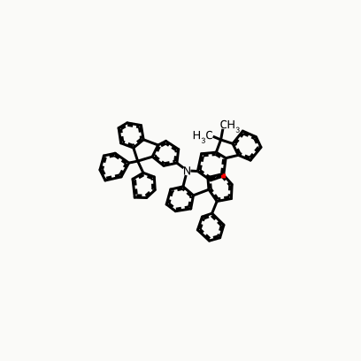 CC1(C)c2ccccc2-c2ccc(N(c3ccc4c(c3)C(c3ccccc3)(c3ccccc3)c3ccccc3-4)c3ccccc3-c3ccccc3-c3ccccc3)cc21